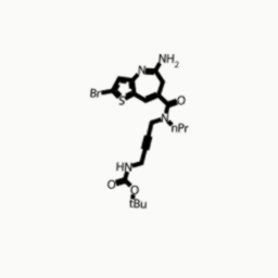 CCCN(CC#CCNC(=O)OC(C)(C)C)C(=O)C1=Cc2sc(Br)cc2N=C(N)C1